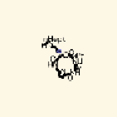 CCCCCCCC(=O)SCC/C=C/[C@@H]1CC(=O)NCC2=NC(=CC2)C(=O)NC(C)(C)C(=O)N[C@@H](C(C)C)C(=O)O1